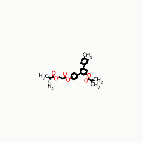 C=C(C)C(=O)OCCC(=O)Oc1ccc(-c2cc(OC(=O)C(=C)C)cc(-c3ccc(C)cc3)c2)cc1